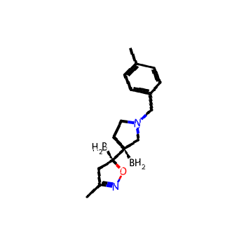 B[C@@]1([C@@]2(B)CC(C)=NO2)CCN(Cc2ccc(C)cc2)C1